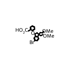 COCCC1(CCOC)CC(Oc2ccccc2CC(=O)O)c2cc(Br)ccc21